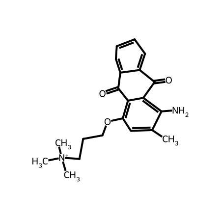 Cc1cc(OCCC[N+](C)(C)C)c2c(c1N)C(=O)c1ccccc1C2=O